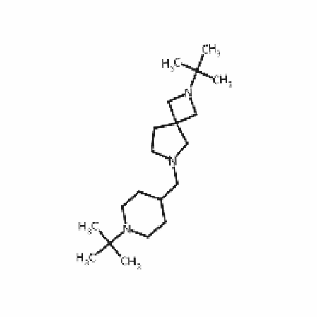 CC(C)(C)N1CCC(CN2CCC3(C2)CN(C(C)(C)C)C3)CC1